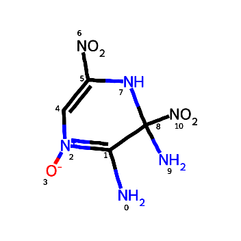 NC1=[N+]([O-])C=C([N+](=O)[O-])NC1(N)[N+](=O)[O-]